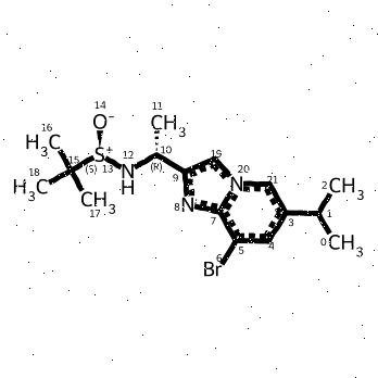 CC(C)c1cc(Br)c2nc([C@@H](C)N[S@+]([O-])C(C)(C)C)cn2c1